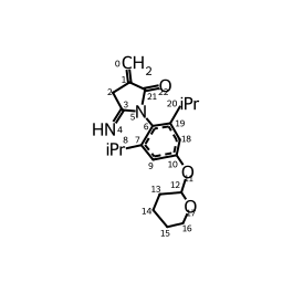 C=C1CC(=N)N(c2c(C(C)C)cc(OC3CCCCO3)cc2C(C)C)C1=O